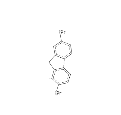 CC(C)c1[c]c2c(cc1)-c1ccc(C(C)C)cc1C2